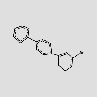 BrC1=CC[CH]C(c2ccc(-c3ccccc3)cc2)=C1